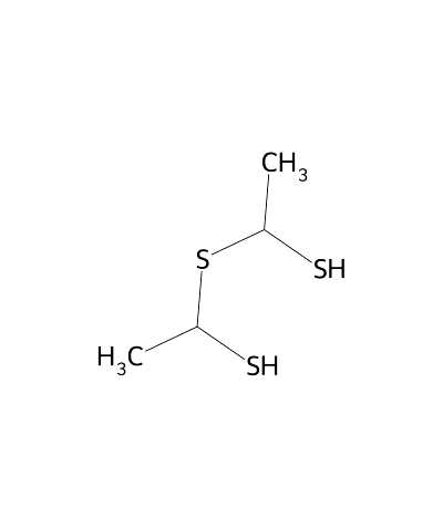 CC(S)SC(C)S